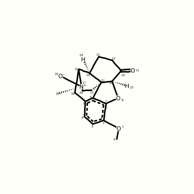 COc1ccc2c3c1O[C@@H]1C(=O)CC[C@@H]4C(C2)[N@+](C)([O-])CC[C@@]314